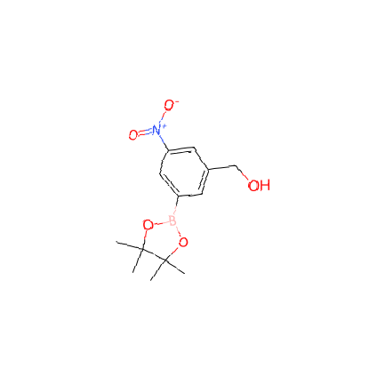 CC1(C)OB(c2cc(CO)cc([N+](=O)[O-])c2)OC1(C)C